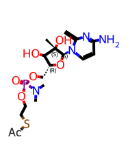 C=C1N=C(N)C=CN1[C@H]1O[C@H](COP(=O)(OCCSC(C)=O)N(C)C)C(O)[C@]1(C)O